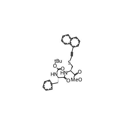 COC(=O)[C@H](CSC#Cc1cccc2ccccc12)NC(=O)[C@H](Cc1ccccc1)NC(=O)OC(C)(C)C